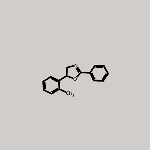 Cc1ccccc1C1CN=C(c2ccccc2)O1